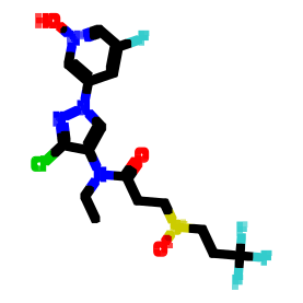 CCN(C(=O)CC[S+]([O-])CCC(F)(F)F)c1cn(-c2cc(F)c[n+](O)c2)nc1Cl